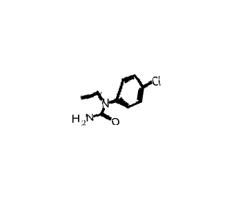 C[CH]N(C(N)=O)c1ccc(Cl)cc1